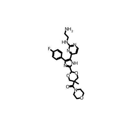 CC1(C(=O)N2CCOCC2)COC(c2nc(-c3ccc(F)cc3)c(-c3ccnc(NCCN)n3)[nH]2)OC1